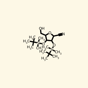 CC(C)(C)[Si](C)(C)OC1C(C#N)OC(CO)C1O[Si](C)(C)C(C)(C)C